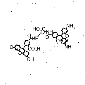 N=c1ccc2c(-c3ccc(C(=O)NC(CCCCNC(=O)c4ccc(-c5c6ccc(=O)cc-6oc6cc(O)ccc56)c(C(=O)O)c4)C(=O)O)cc3C(=O)O)c3ccc(N)cc3oc-2c1